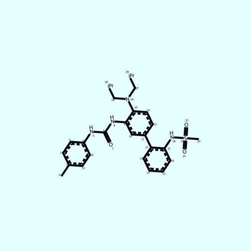 Cc1ccc(NC(=O)Nc2cc(-c3ccccc3NS(C)(=O)=O)ccc2N(CC(C)C)CC(C)C)cc1